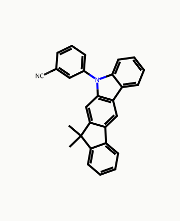 CC1(C)c2ccccc2-c2cc3c4ccccc4n(-c4cccc(C#N)c4)c3cc21